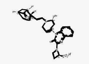 CCC[C@@H]1C[C@H](n2c(=O)c(N3CC[C@@H]3C(=O)O)nc3ccccc32)CCN1CC[C@@H]1CC[C@H]2C[C@@H]1C2(C)C